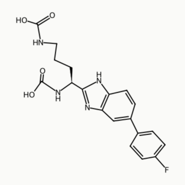 O=C(O)NCCC[C@H](NC(=O)O)c1nc2cc(-c3ccc(F)cc3)ccc2[nH]1